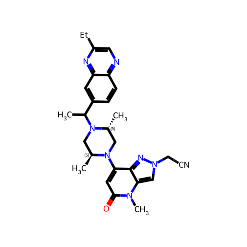 CCc1cnc2ccc(C(C)N3C[C@H](C)N(c4cc(=O)n(C)c5cn(CC#N)nc45)C[C@H]3C)cc2n1